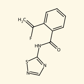 C=C(F)c1ccccc1C(=O)Nc1ncns1